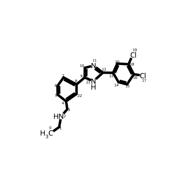 CCNCc1cccc(-c2cnc(-c3ccc(Cl)c(Cl)c3)[nH]2)c1